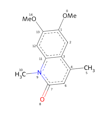 COc1cc2c(C)cc(=O)n(C)c2cc1OC